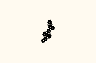 c1ccc2c(c1)Oc1cc(-c3ccc(-c4c5ccccc5c(-c5ccc6ccccc6c5)c5ccccc45)cn3)c3ccccc3c1O2